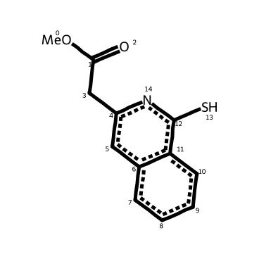 COC(=O)Cc1cc2ccccc2c(S)n1